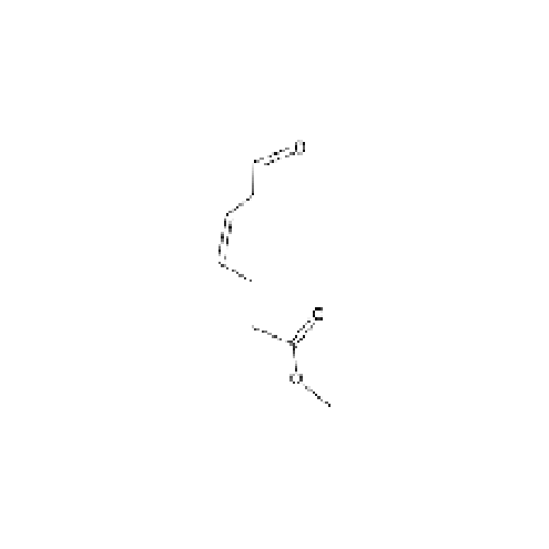 COC(=O)CC/C=C\CC=O